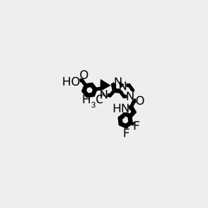 CN(Cc1cnn2c1CN(C(=O)c1cc3c(F)c(F)ccc3[nH]1)CC2)C1(c2cccc(C(=O)O)c2)CC1